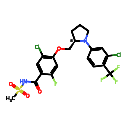 CS(=O)(=O)NC(=O)c1cc(Cl)c(OC[C@H]2CCCN2c2ccc(C(F)(F)F)c(Cl)c2)cc1F